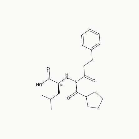 CC(C)C[C@H](NN(C(=O)CCc1ccccc1)C(=O)C1CCCC1)C(=O)O